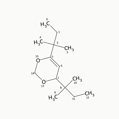 CCC(C)(C)C1=CC(C(C)(C)CC)OCO1